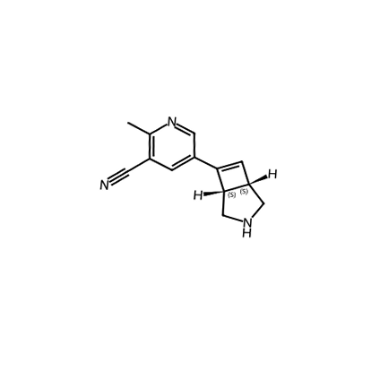 Cc1ncc(C2=C[C@@H]3CNC[C@H]23)cc1C#N